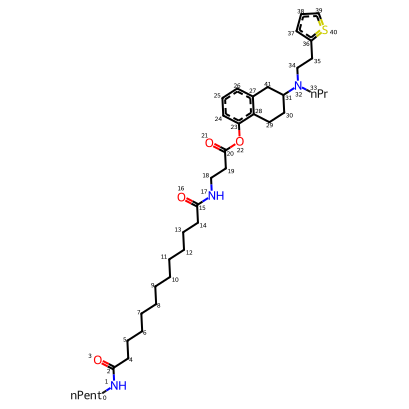 CCCCCNC(=O)CCCCCCCCCCCC(=O)NCCC(=O)Oc1cccc2c1CCC(N(CCC)CCc1cccs1)C2